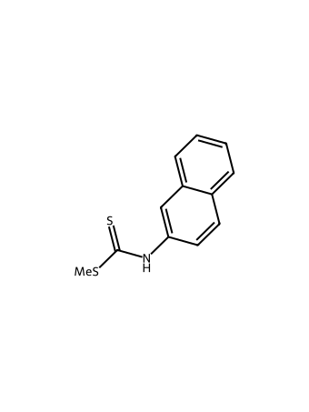 CSC(=S)Nc1ccc2ccccc2c1